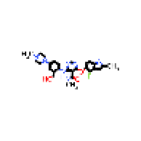 CNC(=O)c1c(Nc2ccc(N3CCN(C)CC3)cc2CO)ncnc1Oc1ccc2[nH]c(C)cc2c1F